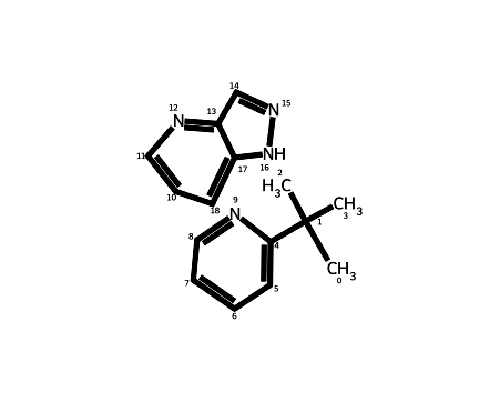 CC(C)(C)c1ccccn1.c1cnc2cn[nH]c2c1